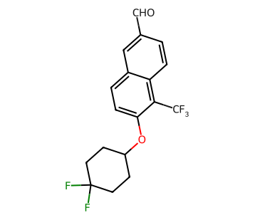 O=Cc1ccc2c(C(F)(F)F)c(OC3CCC(F)(F)CC3)ccc2c1